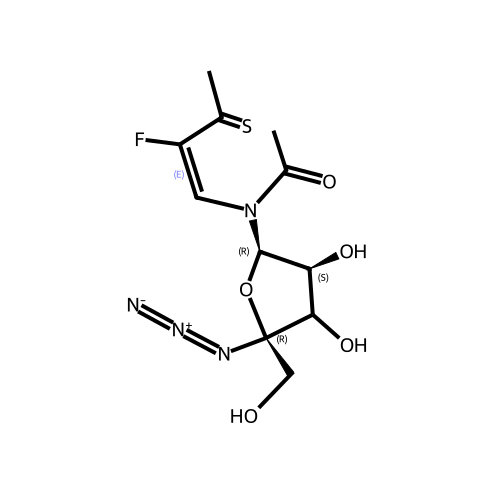 CC(=O)N(/C=C(/F)C(C)=S)[C@@H]1O[C@@](CO)(N=[N+]=[N-])C(O)[C@@H]1O